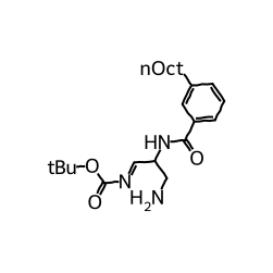 CCCCCCCCc1cccc(C(=O)NC(C=NC(=O)OC(C)(C)C)CN)c1